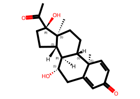 CC(=O)[C@@]1(O)CC[C@H]2[C@@H]3[C@@H](O)CC4=CC(=O)C=C[C@]4(C)[C@H]3CC[C@@]21C